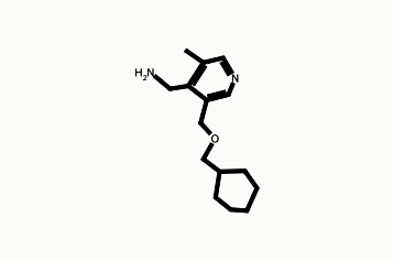 Cc1cncc(COCC2CCCCC2)c1CN